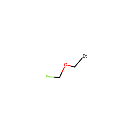 CCCO[C]F